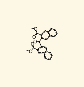 COC(=O)c1cc2ccccc2cc1C(=O)c1cc2ccccc2cc1C(=O)OC